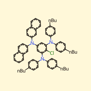 CCCCc1ccc(N(c2ccc(CCCC)cc2)c2cc(N(c3ccc4ccccc4c3)c3ccc4ccccc4c3)cc(N(c3ccc(CCCC)cc3)c3ccc(CCCC)cc3)c2Cl)cc1